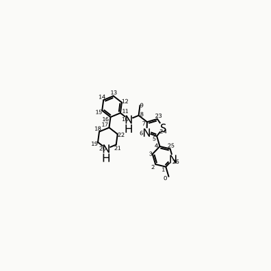 Cc1ccc(-c2nc(C(C)Nc3ccccc3C3CCNCC3)cs2)cn1